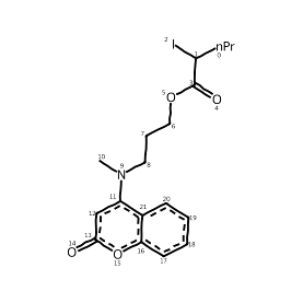 CCCC(I)C(=O)OCCCN(C)c1cc(=O)oc2ccccc12